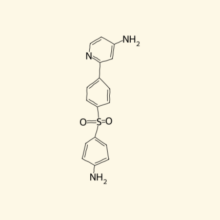 Nc1ccc(S(=O)(=O)c2ccc(-c3cc(N)ccn3)cc2)cc1